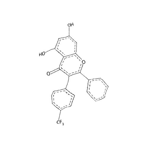 O=c1c(-c2ccc(C(F)(F)F)cc2)c(-c2ccccc2)oc2cc(O)cc(O)c12